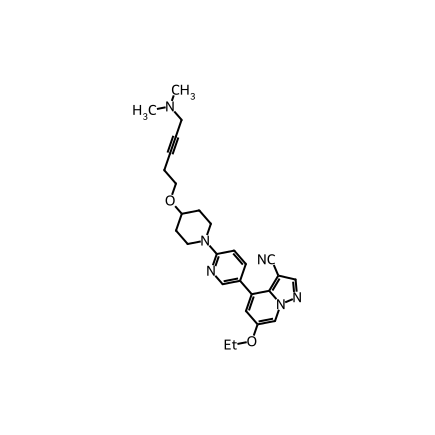 CCOc1cc(-c2ccc(N3CCC(OCCC#CCN(C)C)CC3)nc2)c2c(C#N)cnn2c1